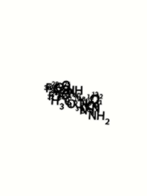 COCCc1nc2c(N)nc3ccccc3c2n1CCCCNS(=O)(=O)c1ccc(F)c(F)c1F